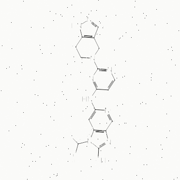 Cc1nc2cnc(Nc3ccnc(N4CCc5[nH]ncc5C4)n3)cc2n1C(C)C